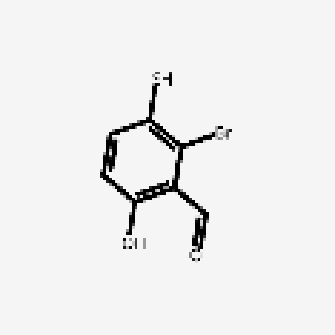 O=Cc1c(O)ccc(S)c1Br